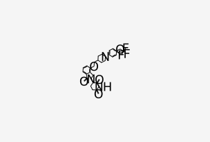 O=C1CCC(N2Cc3c(OCC4CCN(c5ccc(OC(F)(F)F)cc5)CC4)cccc3C2=O)C(=O)N1